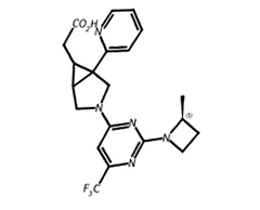 C[C@H]1CCN1c1nc(N2CC3C(CC(=O)O)C3(c3ccccn3)C2)cc(C(F)(F)F)n1